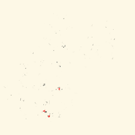 c1ccc(S2(c3ccccc3)c3ccccc3[Si]3(c4ccccc4Sc4ccccc43)c3ccc(N(c4ccc(-c5cccc6ccccc56)cc4)c4cccc5c4sc4ccccc45)cc32)cc1